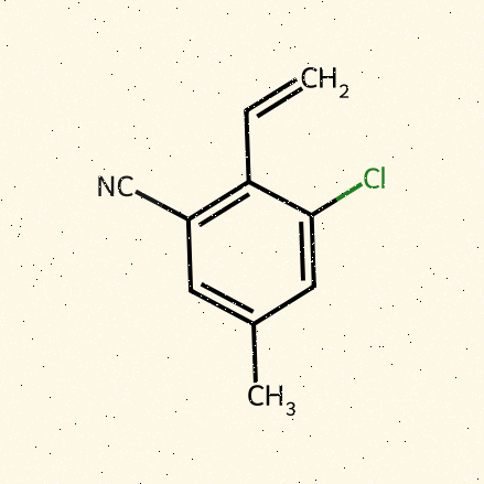 C=Cc1c(Cl)cc(C)cc1C#N